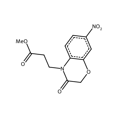 COC(=O)CCN1C(=O)COc2cc([N+](=O)[O-])ccc21